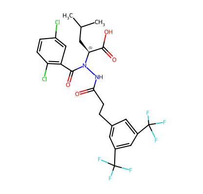 CC(C)C[C@@H](C(=O)O)N(NC(=O)CCc1cc(C(F)(F)F)cc(C(F)(F)F)c1)C(=O)c1cc(Cl)ccc1Cl